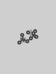 c1ccc(-c2nc(-c3ccccc3)nc(-c3cccc(-c4ccc(-n5c6ccccc6c6c7ccccc7c7c(c65)Sc5ccccc5S7)cc4)c3)n2)cc1